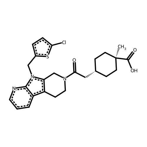 C[C@]1(C(=O)O)CC[C@H](CC(=O)N2CCc3c(n(Cc4ccc(Cl)s4)c4ncccc34)C2)CC1